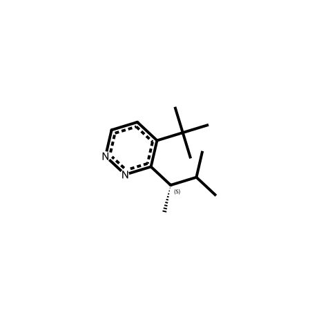 CC(C)[C@H](C)c1nnccc1C(C)(C)C